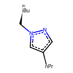 CCCc1cnn(C[C@H](C)CC)c1